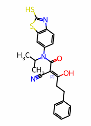 CC(C)N(C(=O)/C(C#N)=C(\O)CCc1ccccc1)c1ccc2nc(S)sc2c1